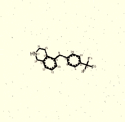 FC(F)(F)c1ccc(Cc2cccc3c2CCNC3)cc1